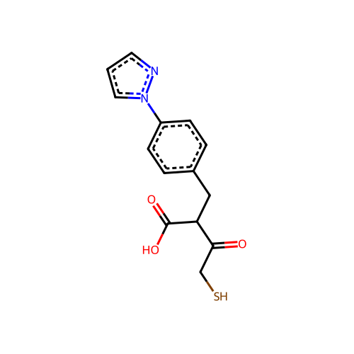 O=C(O)C(Cc1ccc(-n2cccn2)cc1)C(=O)CS